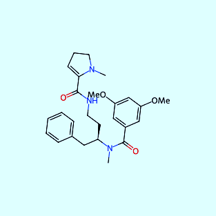 COc1cc(OC)cc(C(=O)N(C)[C@H](CCNC(=O)C2=CCCN2C)Cc2ccccc2)c1